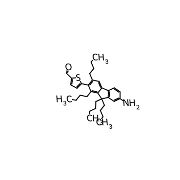 CCCCc1cc2c(c(CCCC)c1-c1ccc(C=O)s1)C(CCCC)(CCCC)c1cc(N)ccc1-2